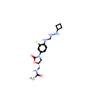 CC(=O)NC[C@H]1CN(c2ccc(NCNNC3CCC3)c(F)c2)C(=O)O1